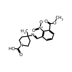 COC(=O)c1cccc(C=NC2(C)CCN(C(=O)O)CC2)c1[N+](=O)[O-]